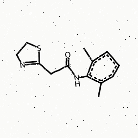 Cc1cccc(C)c1NC(=O)CC1=NCCS1